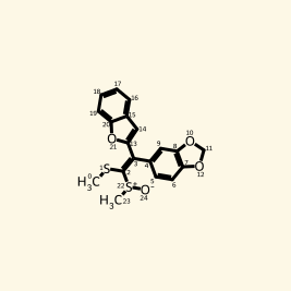 CSC(=C(c1ccc2c(c1)OCO2)c1cc2ccccc2o1)[S+](C)[O-]